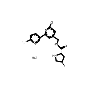 Cl.O=C(NCc1cc(Cl)nc(-c2ccc(C(F)(F)F)nc2)c1)[C@@H]1C[C@@H](F)CN1